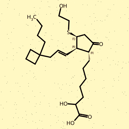 CCCCC1(CC=C[C@H]2[C@@H](SCCO)CC(=O)[C@@H]2CCCCCC(O)C(=O)O)CCC1